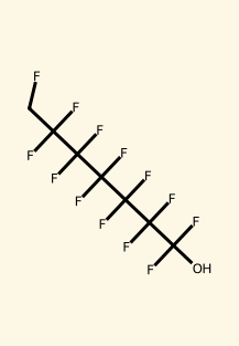 OC(F)(F)C(F)(F)C(F)(F)C(F)(F)C(F)(F)C(F)(F)CF